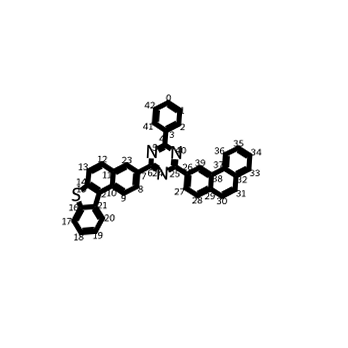 c1ccc(-c2nc(-c3ccc4c(ccc5sc6ccccc6c54)c3)nc(-c3ccc4ccc5ccccc5c4c3)n2)cc1